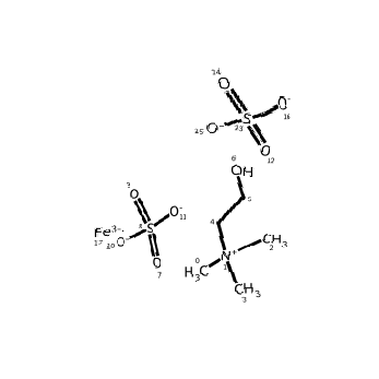 C[N+](C)(C)CCO.O=S(=O)([O-])[O-].O=S(=O)([O-])[O-].[Fe+3]